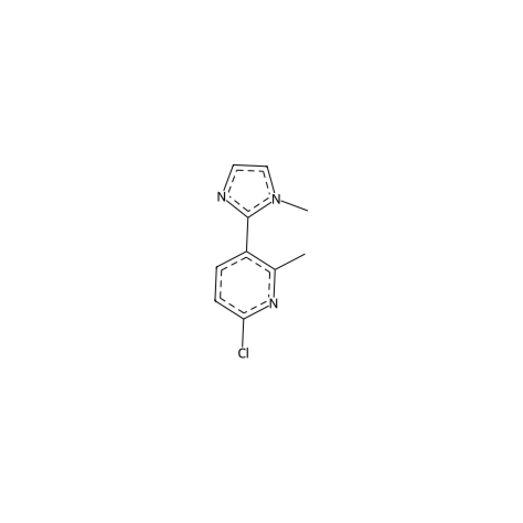 Cc1nc(Cl)ccc1-c1nccn1C